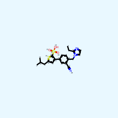 CCc1nccn1Cc1ccc(-c2cc(CC(C)C)sc2S(=O)(=O)O)cc1C#N